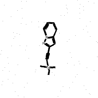 C[Si](C)(C)C#Cc1cc2ccccn2n1